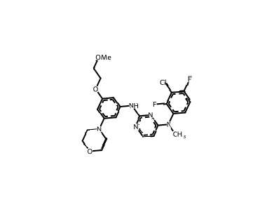 COCCOc1cc(Nc2nccc(N(C)c3ccc(F)c(Cl)c3F)n2)cc(N2CCOCC2)c1